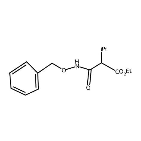 CCOC(=O)C(C(=O)NOCc1ccccc1)C(C)C